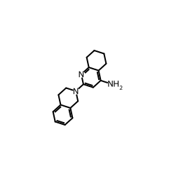 Nc1cc(N2CCc3ccccc3C2)nc2c1CCCC2